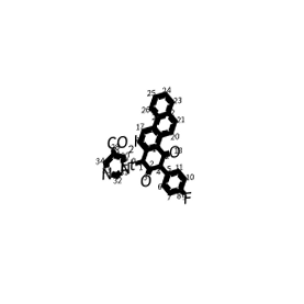 CCC1C(=O)C(c2ccc(F)cc2)C(=O)c2c1ccc1c2ccc2ccccc21.O=C(O)c1cncnc1